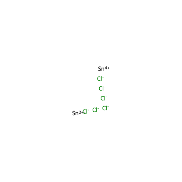 [Cl-].[Cl-].[Cl-].[Cl-].[Cl-].[Cl-].[Sn+2].[Sn+4]